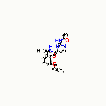 CC(C)C(=O)Nc1nccc(C(=O)NC(C)c2cccc(OCC(F)(F)F)c2)n1